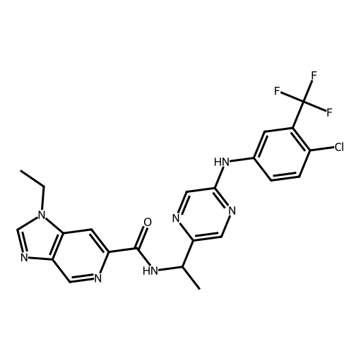 CCn1cnc2cnc(C(=O)NC(C)c3cnc(Nc4ccc(Cl)c(C(F)(F)F)c4)cn3)cc21